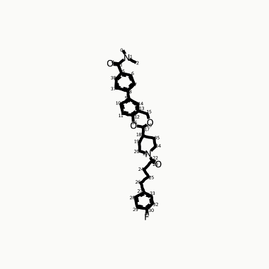 CN(C)C(=O)c1ccc(-c2ccc3c(c2)COC(C2CCN(C(=O)CCCc4ccc(F)cc4)CC2)O3)cc1